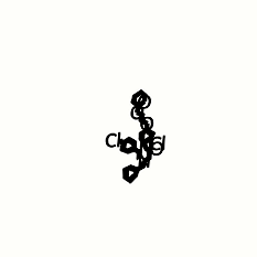 O=C1CN(Cc2ccccc2)CC(c2ccc(Cl)cc2)N1c1ccc(OCCOC2CCCCO2)cc1Cl